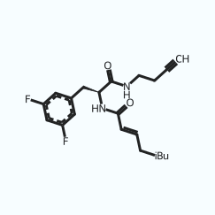 C#CCCNC(=O)[C@H](Cc1cc(F)cc(F)c1)NC(=O)/C=C/CC(C)CC